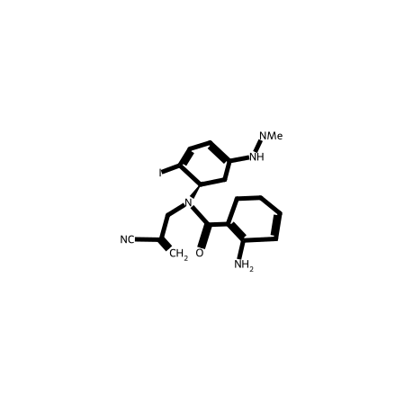 C=C(C#N)CN(C(=O)C1=C(N)C=CCC1)[C@@H]1CC(NNC)=CC=C1I